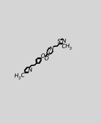 Cc1ccc(CCc2ccc(OC(=O)N3CCN(CCc4scnc4C)CC3)cc2)nc1